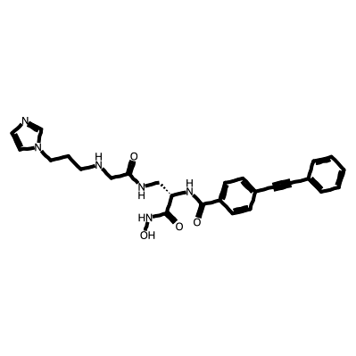 O=C(CNCCCn1ccnc1)NC[C@H](NC(=O)c1ccc(C#Cc2ccccc2)cc1)C(=O)NO